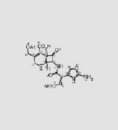 CO/N=C(\C(=O)N[C@@H]1C(=O)N2C(C(=O)O)=C(COC(C)=O)CS[C@@H]12)c1coc(N)n1